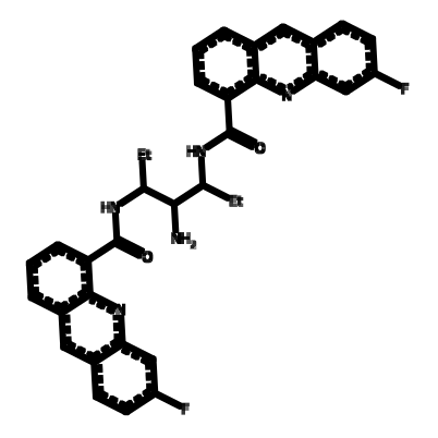 CCC(NC(=O)c1cccc2cc3ccc(F)cc3nc12)C(N)C(CC)NC(=O)c1cccc2cc3ccc(F)cc3nc12